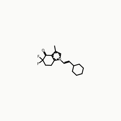 Cc1cn(/C=C/C2CCCCC2)c2c1C(=O)C(F)(F)CC2